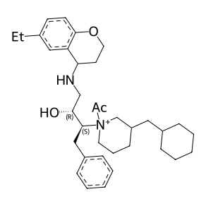 CCc1ccc2c(c1)C(NC[C@@H](O)[C@H](Cc1ccccc1)[N+]1(C(C)=O)CCCC(CC3CCCCC3)C1)CCO2